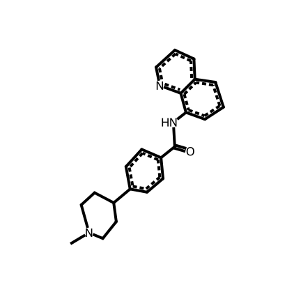 CN1CCC(c2ccc(C(=O)Nc3cccc4cccnc34)cc2)CC1